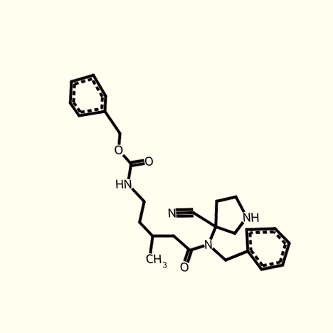 CC(CCNC(=O)OCc1ccccc1)CC(=O)N(Cc1ccccc1)C1(C#N)CCNC1